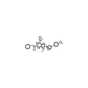 CCn1c(-n2cc(-c3ccc(OC)cc3)cn2)nc2c(N)nc(NCc3ccccc3)nc21